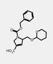 O=C(O)C1=CC(COC2CCCCO2)N(C(=O)OCc2ccccc2)C1